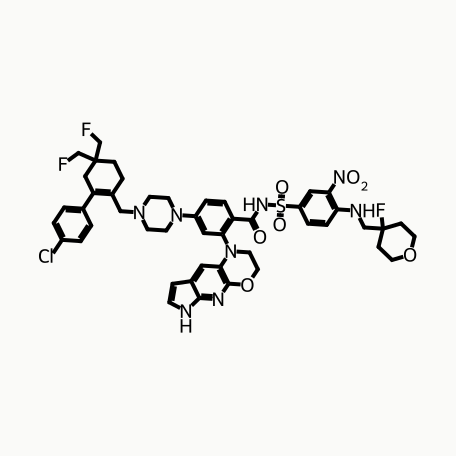 O=C(NS(=O)(=O)c1ccc(NCC2(F)CCOCC2)c([N+](=O)[O-])c1)c1ccc(N2CCN(CC3=C(c4ccc(Cl)cc4)CC(CF)(CF)CC3)CC2)cc1N1CCOc2nc3[nH]ccc3cc21